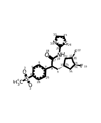 CS(=O)(=O)c1ccc(C(C[C@@H]2C[C@@H](F)[C@@H](F)C2)C(=O)Nc2nccs2)cc1